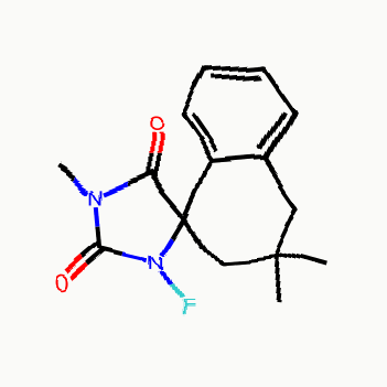 CN1C(=O)N(F)C2(CC(C)(C)Cc3ccccc32)C1=O